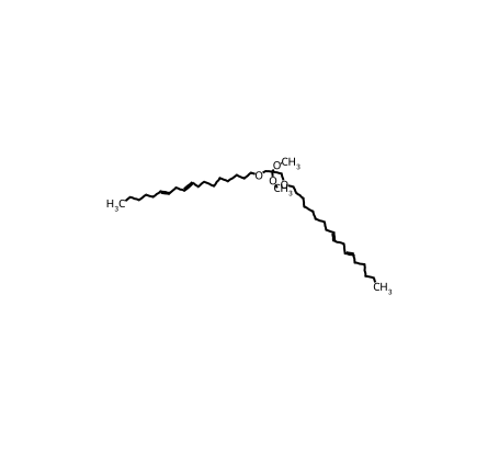 CCCCCC=CCC=CCCCCCCCCOCC(COCCCCCCCCC=CCC=CCCCCC)(OC)OC